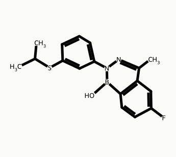 CC1=NN(c2cccc(SC(C)C)c2)B(O)c2ccc(F)cc21